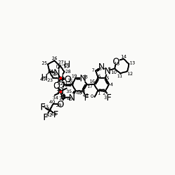 Cc1c(F)cc2c(cnn2C2CCCCO2)c1-c1ncc2c(N3C[C@H]4CC[C@@H](C3)N4C(=O)OC(C)(C)C)nc(OCC(F)(F)F)nc2c1F